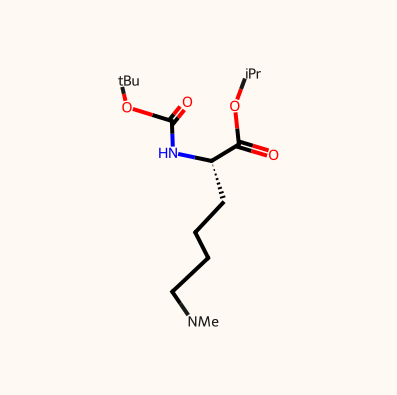 CNCCCC[C@H](NC(=O)OC(C)(C)C)C(=O)OC(C)C